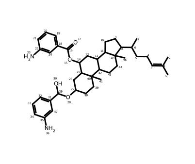 CC(C)=CCCC(C)C1CCC2C3CC(OC(=O)c4cccc(N)c4)C4CC(OC(O)c5cccc(N)c5)CCC4(C)C3CCC12C